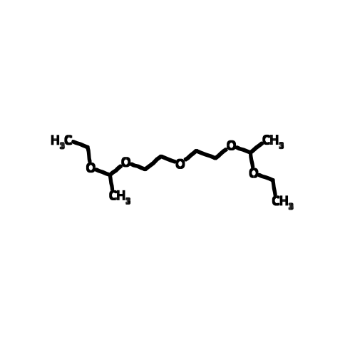 CCOC(C)OCCOCCOC(C)OCC